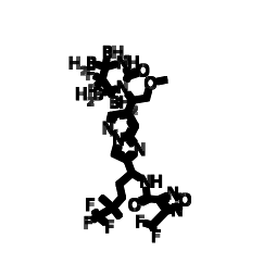 BC1(B)NC(=O)N(C(COC)c2cnn3cc(C(CCC(C)(C)C(F)(F)F)NC(=O)c4nonc4C(F)F)nc3c2)C(B)(B)C1(F)F